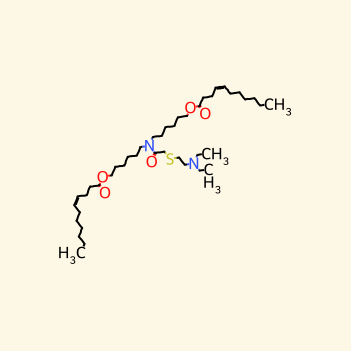 CCCCCC/C=C\CCC(=O)OCCCCCCN(CCCCCCOC(=O)CC/C=C\CCCCCC)C(=O)CSCCN(CC)CC